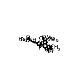 COC(=O)c1cc2c(cc1CSC)-c1cn(C)c(=O)c3[nH]cc(c13)CN2c1ncc(C#CCNC(=O)OC(C)(C)C)cc1F